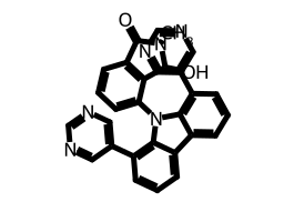 CN1C(=O)c2cccc(-n3c4c(-c5cncnc5)cccc4c4cccc(-c5cncnc5)c43)c2C1O